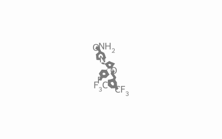 NC(=O)C1CCN(C[C@H]2CC[C@H](OCCc3cc(C(F)(F)F)cc(C(F)(F)F)c3)[C@@H]2c2ccc(F)cc2)CC1